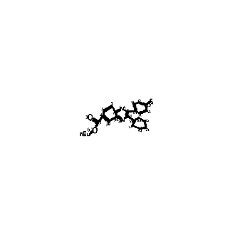 CCCCOC(=O)c1ccc2nc(-c3ccc(F)cc3)c(C3CCCCC3)nc2c1